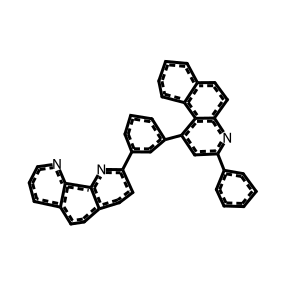 c1ccc(-c2cc(-c3cccc(-c4ccc5ccc6cccnc6c5n4)c3)c3c(ccc4ccccc43)n2)cc1